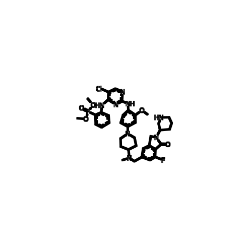 COc1cc(N2CCC(N(C)Cc3cc(F)c4c(c3)CN(C3CCCNC3)C4=O)CC2)ccc1Nc1ncc(Cl)c(Nc2ccccc2P(=O)(OC)OC)n1